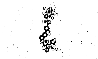 CCC[C@H]1[C@@H](C)C[C@@H](c2ncc(-c3ccc4c(c3)COc3cc5c(ccc6nc([C@H](C)N(C(=O)[C@@H](NC(=O)OC)C7CCOCC7)[C@H]7CCC[C@H]7C)[nH]c65)cc3-4)[nH]2)N1C(=O)C(NC(=O)OC)C(C)C